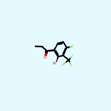 CCC(=O)c1ccc(F)c(C(F)(F)F)c1Br